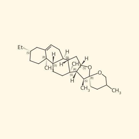 CC[C@H]1CC[C@@]2(C)C(=CC[C@H]3[C@@H]4C[C@@H]5O[C@]6(CCC(C)CO6)[C@@H](C)[C@@H]5[C@@]4(C)CC[C@@H]32)C1